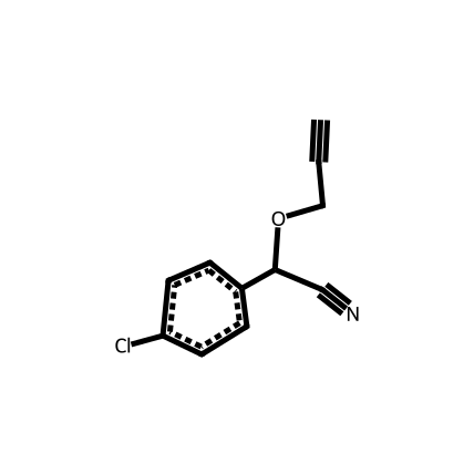 C#CCOC(C#N)c1ccc(Cl)cc1